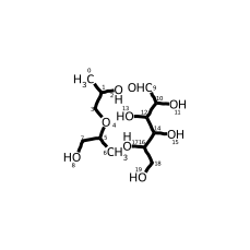 CC(O)COC(C)CO.O=CC(O)C(O)C(O)C(O)CO